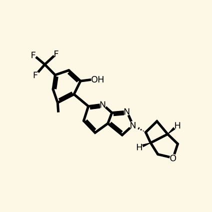 Cc1cc(C(F)(F)F)cc(O)c1-c1ccc2cn([C@@H]3C[C@@H]4COC[C@@H]43)nc2n1